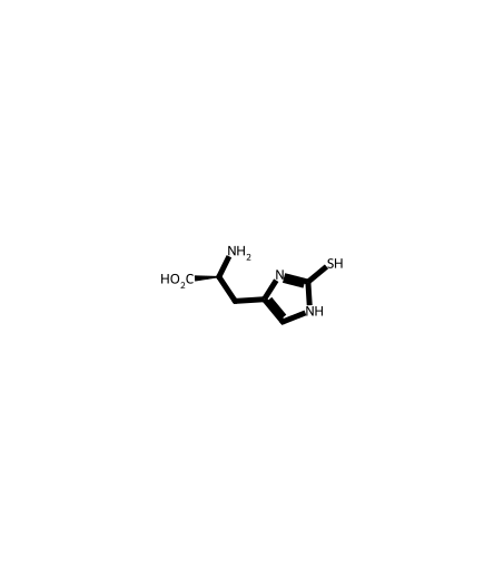 N[C@@H](Cc1c[nH]c(S)n1)C(=O)O